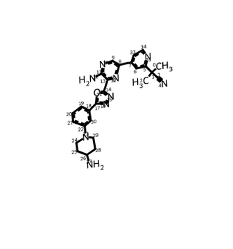 CC(C)(C#N)c1cc(-c2cnc(N)c(-c3nnc(-c4cccc(N5CCC(N)CC5)c4)o3)n2)ccn1